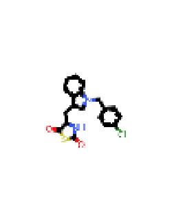 O=C1NC(Cc2cn(Cc3ccc(Cl)cc3)c3ccccc23)C(=O)S1